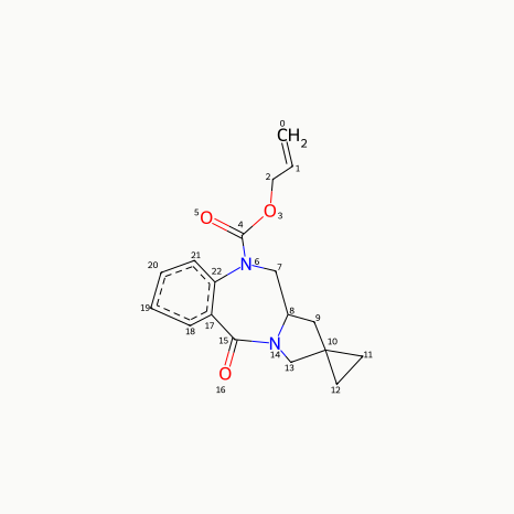 C=CCOC(=O)N1CC2CC3(CC3)CN2C(=O)c2ccccc21